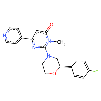 Cn1c(N2CCO[C@H](C3C=CC(F)=CC3)C2)nc(-c2ccncc2)cc1=O